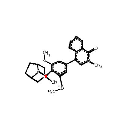 COc1cc(-c2cn(C)c(=O)c3ccccc23)cc(OC)c1CN1C2CCC1CN(C)C2